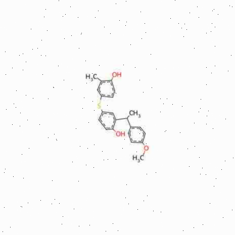 COc1ccc(C(C)c2cc(Sc3ccc(O)c(C)c3)ccc2O)cc1